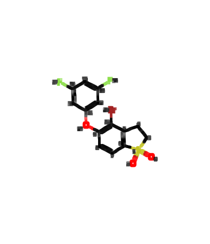 O=S1(=O)CCc2c1ccc(Oc1cc(F)cc(F)c1)c2Br